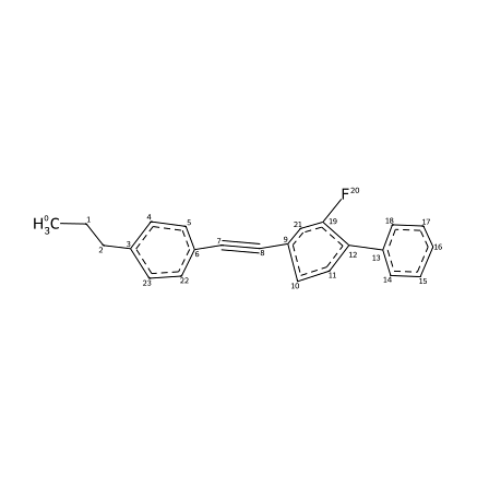 CCCc1ccc(C#Cc2ccc(-c3ccccc3)c(F)c2)cc1